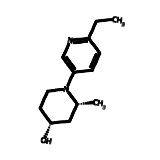 CCc1ccc(N2CC[C@@H](O)C[C@H]2C)cn1